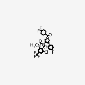 CN(C(=O)N(C)[C@@H]1CN(C(=O)C2CCC(F)(F)CC2)C[C@H]1c1ccc(F)cc1)c1cc(Cl)cc(C(F)(F)F)c1